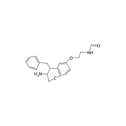 NC1CCc2ccc(OCCNC=O)cc2C1Cc1ccccc1